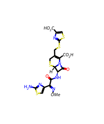 CON=C(C(=O)N[C@@H]1C(=O)N2C(C(=O)O)=C(CSc3nc(C(=O)O)cs3)CS[C@@H]12)c1csc(N)n1